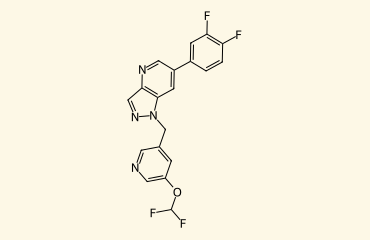 Fc1ccc(-c2cnc3cnn(Cc4cncc(OC(F)F)c4)c3c2)cc1F